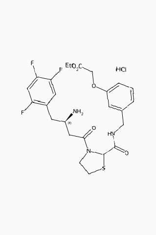 CCOC(=O)COc1cccc(CNC(=O)C2SCCN2C(=O)C[C@H](N)Cc2cc(F)c(F)cc2F)c1.Cl